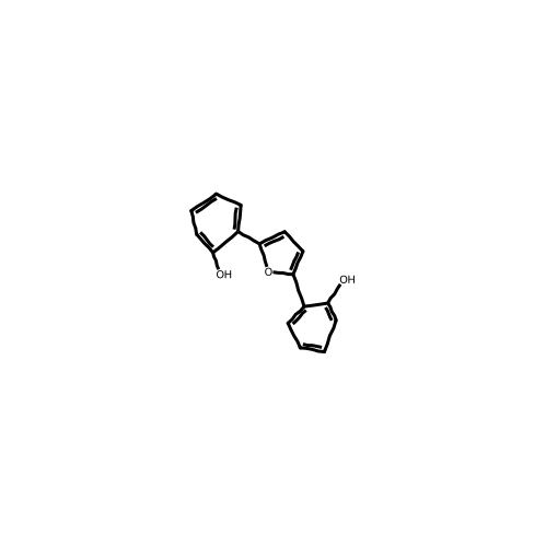 Oc1ccccc1-c1ccc(-c2ccccc2O)o1